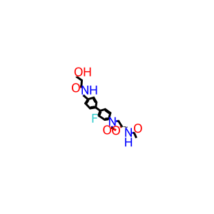 CC(=O)NC[C@H]1CN(c2ccc(-c3ccc(CNC(=O)CCO)cc3)c(F)c2)C(=O)O1